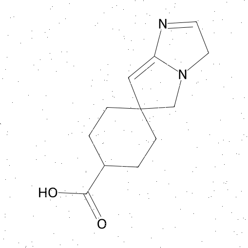 O=C(O)C1CCC2(C=C3N=CCN3C2)CC1